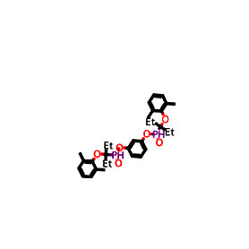 CCC(CC)(Oc1c(C)cccc1C)[PH](=O)Oc1cccc(O[PH](=O)C(CC)(CC)Oc2c(C)cccc2C)c1